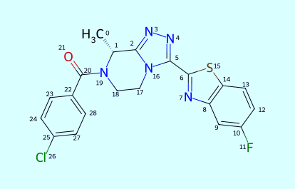 C[C@@H]1c2nnc(-c3nc4cc(F)ccc4s3)n2CCN1C(=O)c1ccc(Cl)cc1